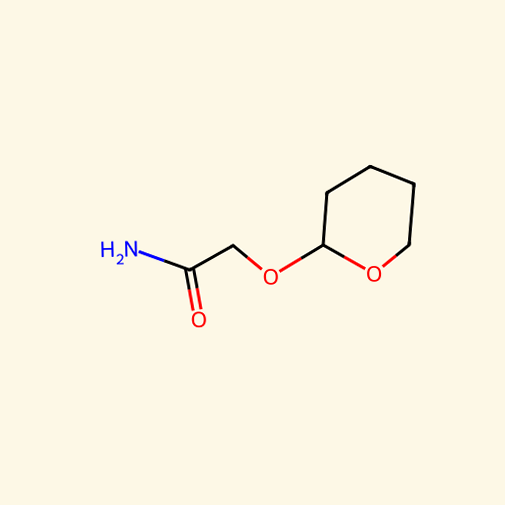 NC(=O)COC1CCCCO1